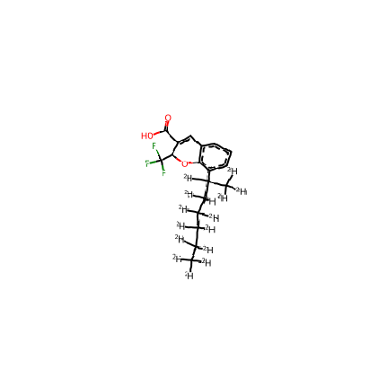 [2H]C([2H])([2H])C([2H])([2H])C([2H])([2H])C([2H])([2H])C([2H])([2H])C([2H])(c1cccc2c1OC(C(F)(F)F)C(C(=O)O)=C2)C([2H])([2H])[2H]